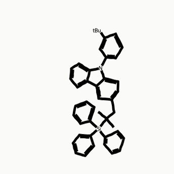 CC(C)(C)c1cccc(-n2c3ccccc3c3cc(CC(C)(C)[Si](c4ccccc4)(c4ccccc4)c4ccccc4)ccc32)c1